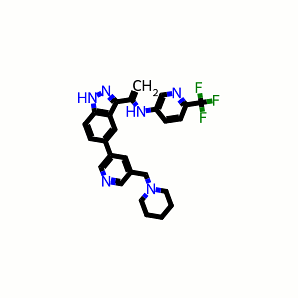 C=C(Nc1ccc(C(F)(F)F)nc1)c1n[nH]c2ccc(-c3cncc(CN4CCCCC4)c3)cc12